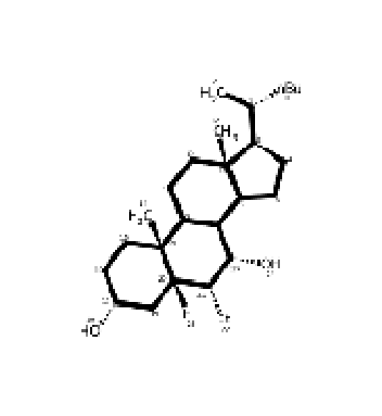 CCCC[C@@H](C)[C@H]1CCC2C3C(CC[C@@]21C)[C@@]1(C)CC[C@@H](O)C[C@H]1[C@@H](CC)[C@H]3O